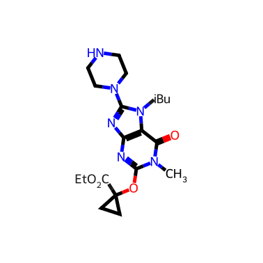 CCOC(=O)C1(Oc2nc3nc(N4CCNCC4)n(C(C)CC)c3c(=O)n2C)CC1